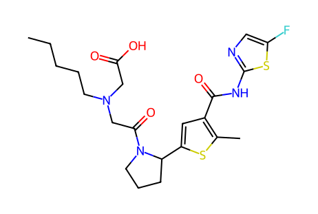 CCCCCN(CC(=O)O)CC(=O)N1CCCC1c1cc(C(=O)Nc2ncc(F)s2)c(C)s1